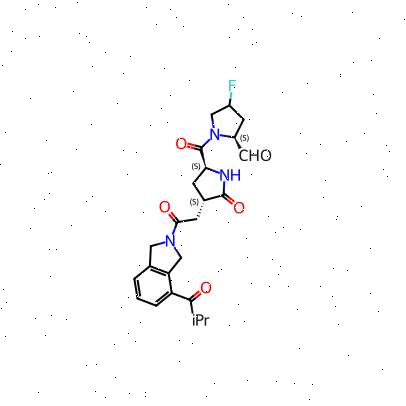 CC(C)C(=O)c1cccc2c1CN(C(=O)C[C@@H]1C[C@@H](C(=O)N3CC(F)C[C@H]3C=O)NC1=O)C2